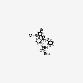 CSc1cc(Br)ccc1[C@@H]1CCC[C@@H](CCNC(=O)OC(C)(C)C)N1C(=O)OCc1ccccc1